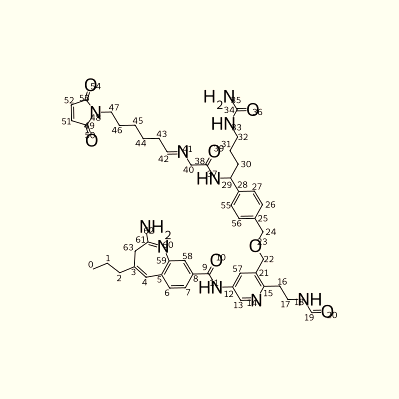 CCCC1=Cc2ccc(C(=O)Nc3cnc(CCNC=O)c(COCc4ccc(C(CCCNC(N)=O)NC(=O)C/N=C/CCCCCN5C(=O)C=CC5=O)cc4)c3)cc2N=C(N)C1